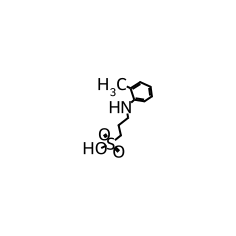 Cc1ccccc1NCCCS(=O)(=O)O